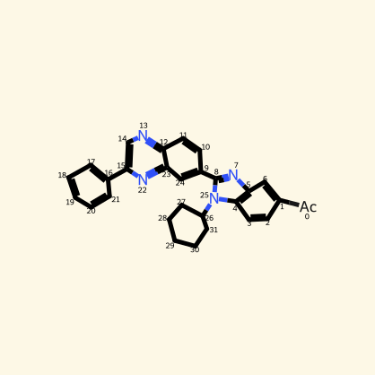 CC(=O)c1ccc2c(c1)nc(-c1ccc3ncc(-c4ccccc4)nc3c1)n2C1CCCCC1